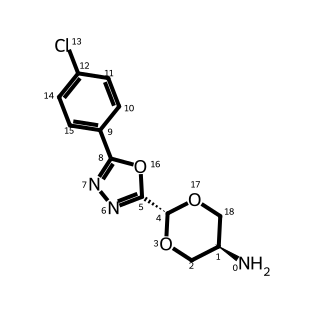 N[C@H]1CO[C@H](c2nnc(-c3ccc(Cl)cc3)o2)OC1